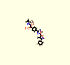 N#CC1(NC(=O)C(O)c2ccc(-c3noc(-c4onc(-c5ccccc5)c4CF)n3)cc2)CC1